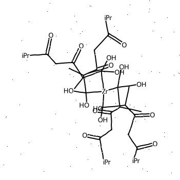 CC(C)C(=O)CC(=O)C(C)[C](O)(O)[Zr]([C](O)(O)C(C)C(=O)CC(=O)C(C)C)([C](O)(O)C(C)C(=O)CC(=O)C(C)C)[C](O)(O)C(C)C(=O)CC(=O)C(C)C